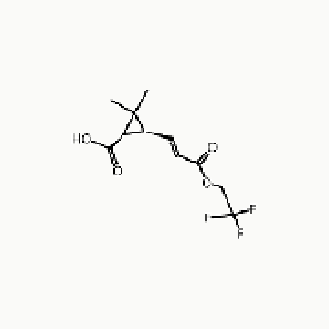 CC1(C)[C@H](C(=O)O)[C@@H]1C=CC(=O)OCC(F)(F)F